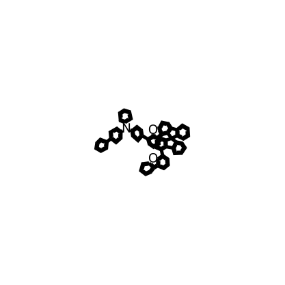 c1ccc(-c2ccc(N(c3ccccc3)c3ccc(-c4cccc5c4oc4ccc6c(c45)C4(c5ccccc5-6)c5ccccc5-c5c(-c6cccc7c6oc6ccccc67)cccc54)cc3)cc2)cc1